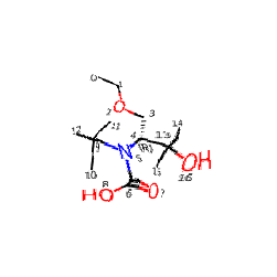 CCOC[C@@H](N(C(=O)O)C(C)(C)C)C(C)(C)O